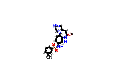 N#Cc1cccc(S(=O)(=O)Nc2ccc3c(c2)NC(=O)CC2CNCCN32)c1